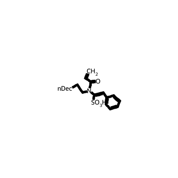 C=CC(=O)N(CCCCCCCCCCCC)C(=Cc1ccccc1)S(=O)(=O)O